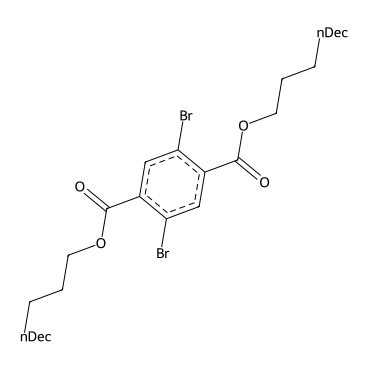 CCCCCCCCCCCCCOC(=O)c1cc(Br)c(C(=O)OCCCCCCCCCCCCC)cc1Br